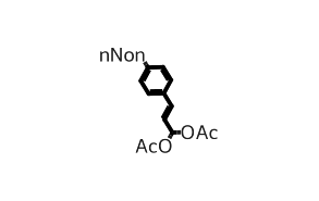 CCCCCCCCCc1ccc(C=CC(OC(C)=O)OC(C)=O)cc1